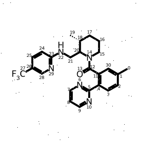 Cc1ccc(-c2ncccn2)c(C(=O)N2CCC[C@@H](C)C2CNc2ccc(C(F)(F)F)cn2)c1